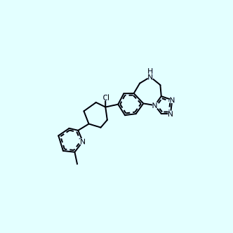 Cc1cccc(C2CCC(Cl)(c3ccc4c(c3)CNCc3nncn3-4)CC2)n1